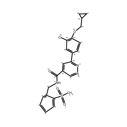 CS(=O)(=O)c1ccccc1CNC(=O)c1cnnc(-c2ccc(OCC3CC3)c(Cl)c2)c1